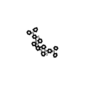 c1ccc(N(c2ccccc2)c2ccc3c(c2)Sc2cccc4c2B3c2cccc3c5c(ccc6c7cccc8c7n(c65)-c5cccc6c5B8c5ccc(N(c7ccccc7)c7ccccc7)cc5S6)n-4c23)cc1